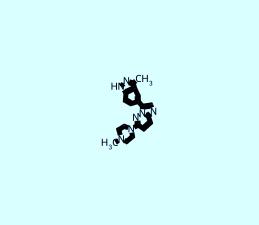 Cc1n[nH]c2ccc(-c3cnc4ccc(N5CCN(C)CC5)nn34)cc12